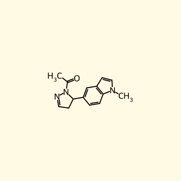 CC(=O)N1N=CCC1c1ccc2c(ccn2C)c1